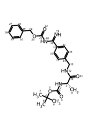 C[C@H](NC(=O)OC(C)(C)C)C(=O)NCc1ccc(C(=N)NC(=O)OCc2ccccc2)cc1